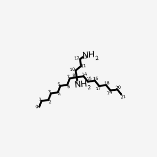 CCCCCCCCC(N)(CCCN)CCCCCCCC